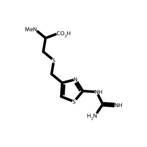 CNC(CSCc1csc(NC(=N)N)n1)C(=O)O